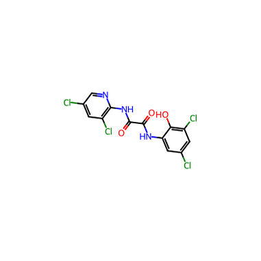 O=C(Nc1cc(Cl)cc(Cl)c1O)C(=O)Nc1ncc(Cl)cc1Cl